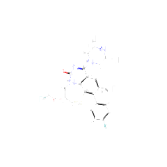 C[C@@H]1CN(c2nc(=O)n3c4c(c(-c5ccc(F)cc5)c(C(F)(F)F)cc24)SC[C@@H](OCF)C3)C[C@H](C)N1